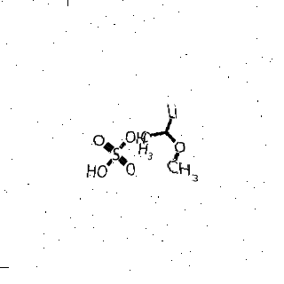 O=S(=O)(O)O.[Li][CH](C)OC